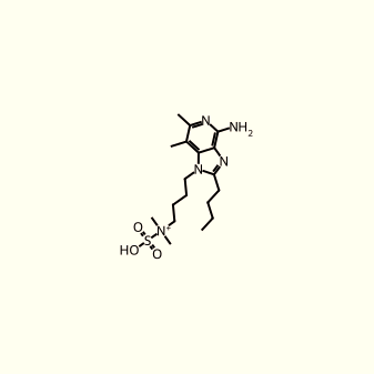 CCCCc1nc2c(N)nc(C)c(C)c2n1CCCC[N+](C)(C)S(=O)(=O)O